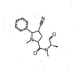 C[C@H](C=O)N(C)C(=O)C1CC(C#N)C(c2ccccc2)N1C